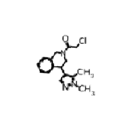 Cc1c(C2CN(C(=O)CCl)Cc3ccccc32)cnn1C